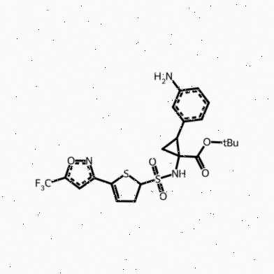 CC(C)(C)OC(=O)C1(NS(=O)(=O)C2CC=C(c3cc(C(F)(F)F)on3)S2)CC1c1cccc(N)c1